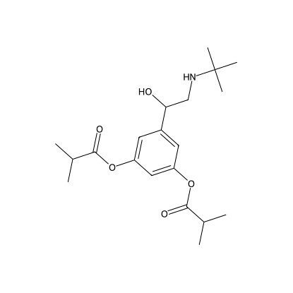 CC(C)C(=O)Oc1cc(OC(=O)C(C)C)cc(C(O)CNC(C)(C)C)c1